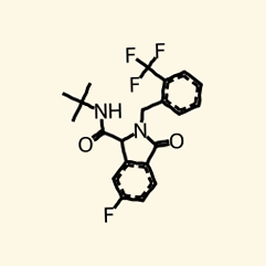 CC(C)(C)NC(=O)C1c2cc(F)ccc2C(=O)N1Cc1ccccc1C(F)(F)F